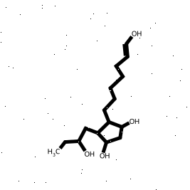 CCC(O)CC1C(O)CC(O)C1CCCCCC=CO